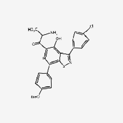 COc1ccc(-c2nc(C(=O)C(N)C(=O)O)c(O)c3c(-c4ccc(Cl)cc4)nsc23)cc1